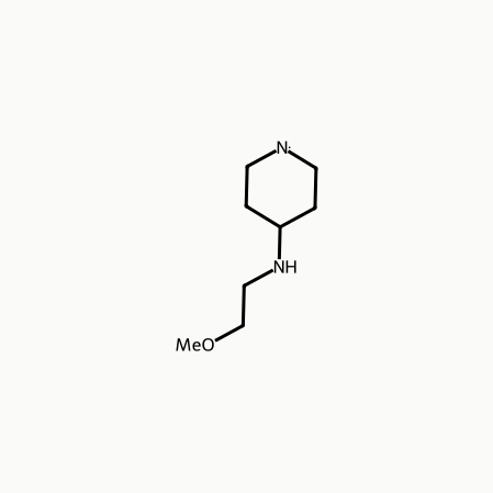 COCCNC1CC[N]CC1